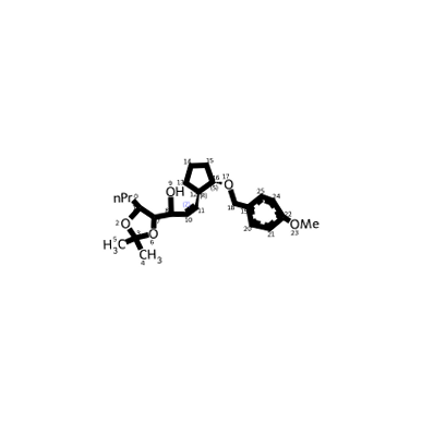 CCCC1OC(C)(C)OC1C(O)/C=C\[C@H]1CCC[C@@H]1OCc1ccc(OC)cc1